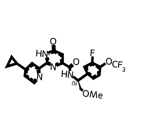 COC[C@@H](NC(=O)c1cc(=O)[nH]c(-c2cc(C3CC3)ccn2)n1)c1ccc(OC(F)(F)F)c(F)c1